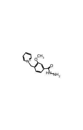 COc1cc(C(=O)NN)ccc1C[n+]1ccccc1